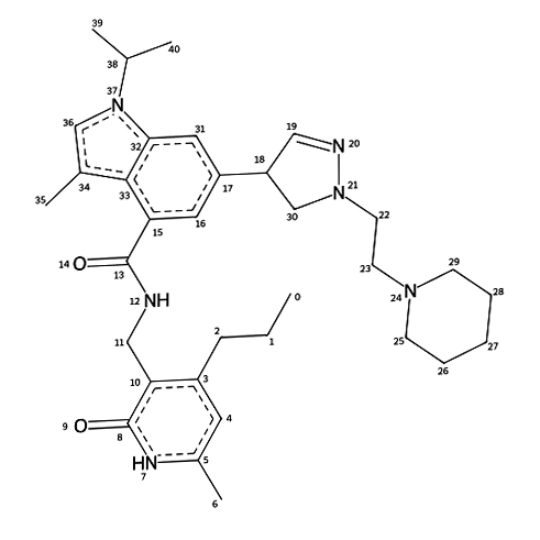 CCCc1cc(C)[nH]c(=O)c1CNC(=O)c1cc(C2C=NN(CCN3CCCCC3)C2)cc2c1c(C)cn2C(C)C